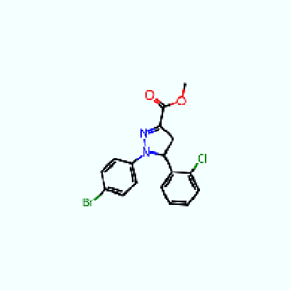 COC(=O)C1=NN(c2ccc(Br)cc2)C(c2ccccc2Cl)C1